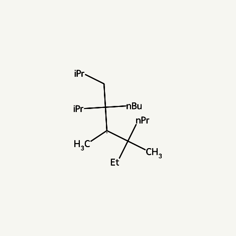 CCCCC(CC(C)C)([C](C)C(C)(CC)CCC)C(C)C